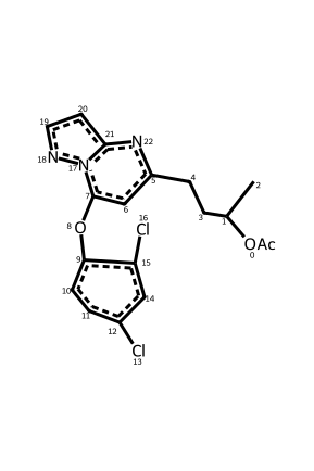 CC(=O)OC(C)CCc1cc(Oc2ccc(Cl)cc2Cl)n2nccc2n1